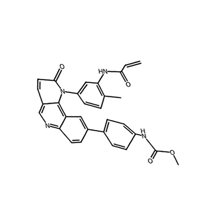 C=CC(=O)Nc1cc(-n2c(=O)ccc3cnc4ccc(-c5ccc(NC(=O)OC)cc5)cc4c32)ccc1C